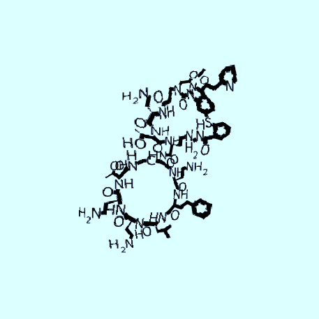 CNC(=O)c1ccccc1Sc1ccc2c(/C=C/c3ccccn3)nn(C(=O)N(CCOC(C)=O)CCC(=O)N[C@@H](CCN)C(=O)N[C@H](C(=O)N[C@@H](CCN)C(=O)N[C@H]3CCNC(=O)[C@@H]([C@@H](C)O)NC(=O)[C@H](CCN)NC(=O)[C@H](CCN)NC(=O)[C@H](CC(C)C)NC(=O)C(CCc4ccccc4)NC(=O)[C@H](CCN)NC3=O)[C@@H](C)O)c2c1